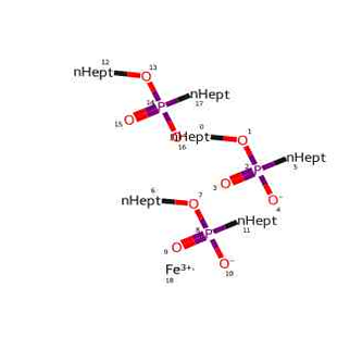 CCCCCCCOP(=O)([O-])CCCCCCC.CCCCCCCOP(=O)([O-])CCCCCCC.CCCCCCCOP(=O)([O-])CCCCCCC.[Fe+3]